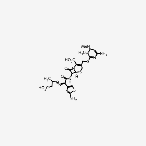 CNC1C=C(N)N=C(SCC2=C(C(=O)O)N3C(=O)C(NC(=O)/C(=N\OC(C)CC(=O)O)c4csc(N)n4)[C@@H]3SC2)N1C